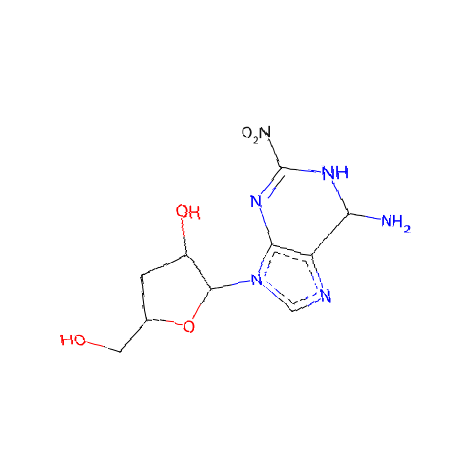 NC1NC([N+](=O)[O-])=Nc2c1ncn2C1OC(CO)CC1O